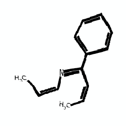 C\C=C/N=C(\C=C/C)c1ccccc1